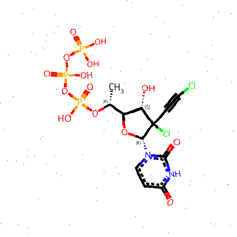 C[C@@H](OP(=O)(O)OP(=O)(O)OP(=O)(O)O)C1O[C@@H](n2ccc(=O)[nH]c2=O)C(Cl)(C#CCl)[C@H]1O